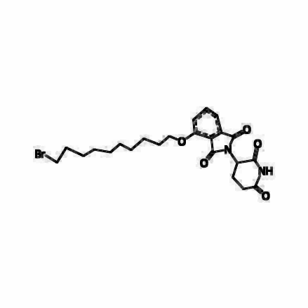 O=C1CCC(N2C(=O)c3cccc(OCCCCCCCCCCBr)c3C2=O)C(=O)N1